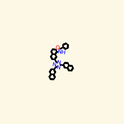 c1ccc(C2Nc3c(ccc4ccc(-c5nc(-c6ccc7ccccc7c6)nc(-c6ccc7ccccc7c6)n5)cc34)O2)cc1